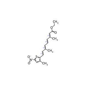 CCOC(=O)/C=C(C)/C=C/C=C(C)/C=C/c1sc([N+](=O)[O-])cc1C